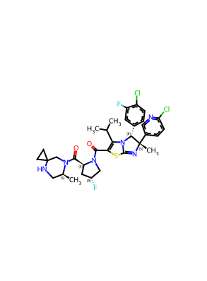 CC(C)C1=C(C(=O)N2C[C@H](F)C[C@H]2C(=O)N2CC3(CC3)NC[C@@H]2C)SC2=N[C@@](C)(c3ccc(Cl)nc3)[C@@H](c3ccc(Cl)c(F)c3)N21